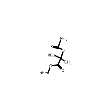 CCCCCCOC(=O)C(C)(CCCC)SC(N)=S